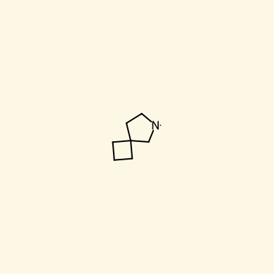 C1CC2(C1)CC[N]C2